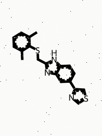 Cc1cccc(C)c1SCc1nc2cc(-c3cscn3)ccc2[nH]1